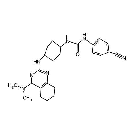 CN(C)c1nc(NC2CCC(NC(=O)Nc3ccc(C#N)cc3)CC2)nc2c1CCCC2